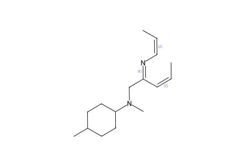 C\C=C/N=C(\C=C/C)CN(C)C1CCC(C)CC1